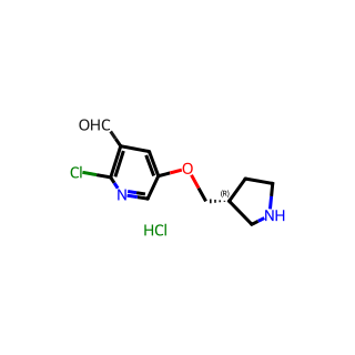 Cl.O=Cc1cc(OC[C@@H]2CCNC2)cnc1Cl